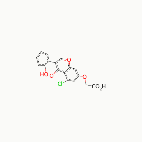 O=C(O)COc1cc(Cl)c2c(=O)c(-c3ccccc3O)coc2c1